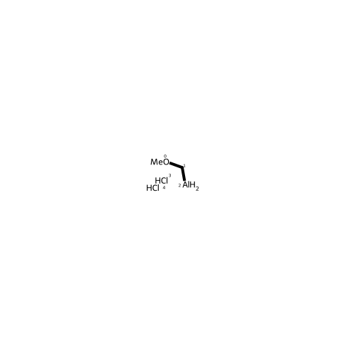 CO[CH2][AlH2].Cl.Cl